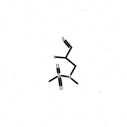 CN(CC(I)[C]=S)S(C)(=O)=O